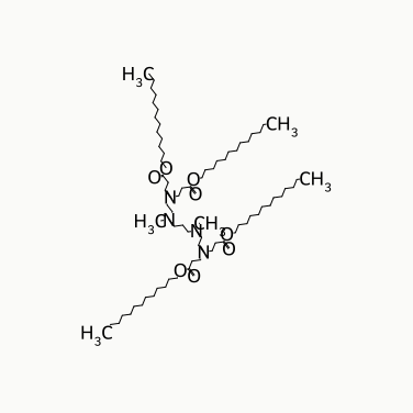 CCCCCCCCCCCCCOC(=O)CCN(CCC(=O)OCCCCCCCCCCCCC)CCN(C)CCCN(C)CCN(CCC(=O)OCCCCCCCCCCCCC)CCC(=O)OCCCCCCCCCCCCC